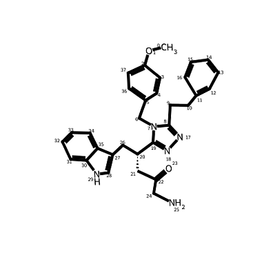 COc1ccc(Cn2c(CCc3ccccc3)nnc2[C@H](CC(=O)CN)Cc2c[nH]c3ccccc23)cc1